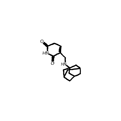 O=C1CC=C(CNC23CC4CC(CC(C4)C2)C3)C(=O)N1